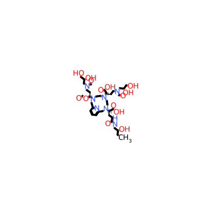 CCC(O)CNC(=O)CC[C@H](C(=O)O)N1CCN([C@H](CCN(C=O)CC(O)CO)C(=O)O)CCN([C@H](CCN(C=O)CC(O)CO)OC=O)Cc2cccc(n2)C1